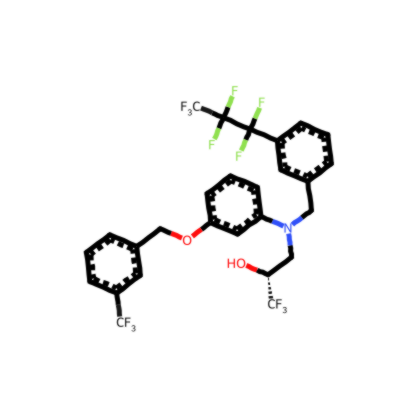 O[C@H](CN(Cc1cccc(C(F)(F)C(F)(F)C(F)(F)F)c1)c1cccc(OCc2cccc(C(F)(F)F)c2)c1)C(F)(F)F